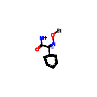 CCO/N=C(\C([NH])=O)c1ccccc1